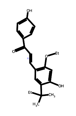 CCOc1cc(O)c(C(C)(C)CC)cc1/C=C/C(=O)c1ccc(O)cc1